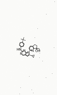 CC[C@@]1(O)CCc2ccc(-n3c(C4CC4)cc4cnc(Nc5ccc(C(C)(C)C)cc5)nc43)nc21